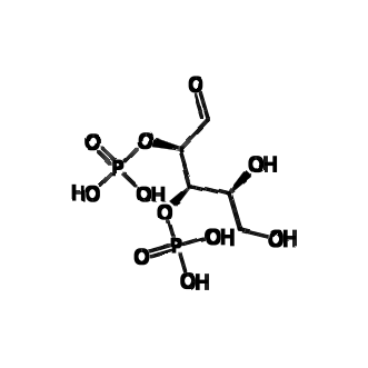 O=C[C@H](OP(=O)(O)O)[C@H](OP(=O)(O)O)[C@@H](O)CO